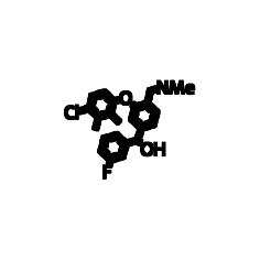 CNCc1ccc(C(O)c2cccc(F)c2)cc1Oc1ccc(Cl)c(C)c1C